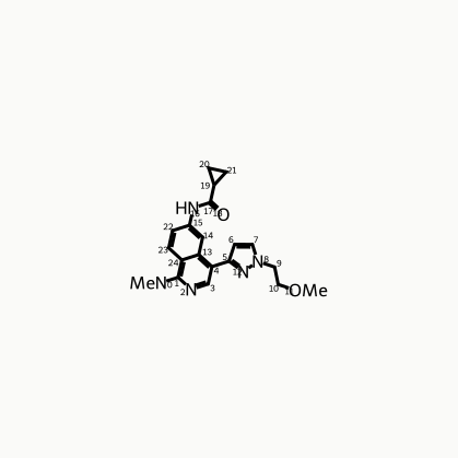 CNc1ncc(-c2ccn(CCOC)n2)c2cc(NC(=O)C3CC3)ccc12